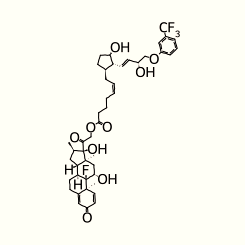 C[C@@H]1C[C@H]2[C@@H]3CCC4=CC(=O)C=C[C@]4(C)[C@@]3(F)[C@@H](O)C[C@]2(C)[C@@]1(O)C(=O)COC(=O)CCC/C=C\C[C@H]1CC[C@@H](O)[C@@H]1/C=C/[C@@H](O)COc1cccc(C(F)(F)F)c1